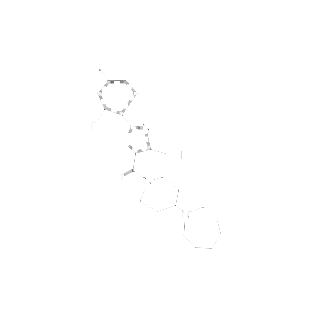 Cc1nc(-c2ccc(Cl)cc2F)sc1C(=O)N1CCC(N2CCCCCC2)CC1